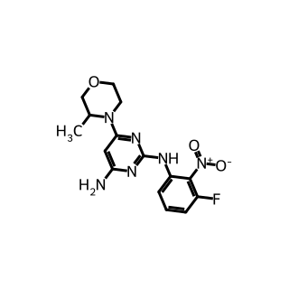 CC1COCCN1c1cc(N)nc(Nc2cccc(F)c2[N+](=O)[O-])n1